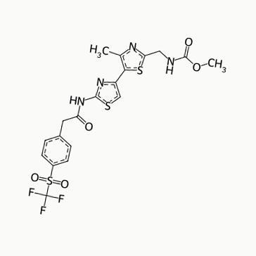 COC(=O)NCc1nc(C)c(-c2csc(NC(=O)Cc3ccc(S(=O)(=O)C(F)(F)F)cc3)n2)s1